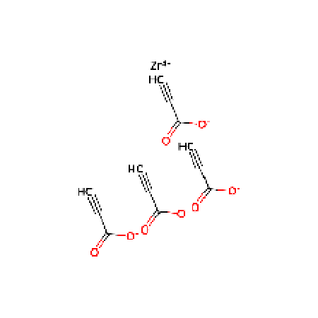 C#CC(=O)[O-].C#CC(=O)[O-].C#CC(=O)[O-].C#CC(=O)[O-].[Zr+4]